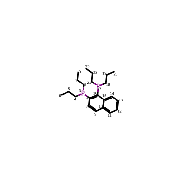 CCCP(CCC)c1ccc2ccccc2c1P(CCC)CCC